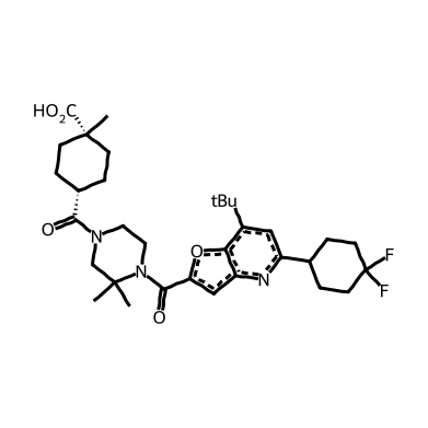 CC(C)(C)c1cc(C2CCC(F)(F)CC2)nc2cc(C(=O)N3CCN(C(=O)[C@H]4CC[C@@](C)(C(=O)O)CC4)CC3(C)C)oc12